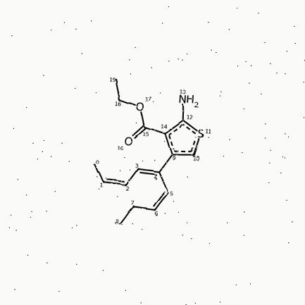 C\C=C/C=C(\C=C/CC)c1csc(N)c1C(=O)OCC